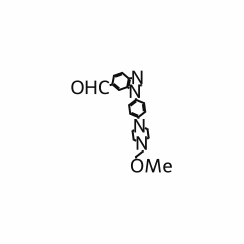 COCCN1CCN(c2ccc(-n3cnc4ccc(C=O)cc43)cc2)CC1